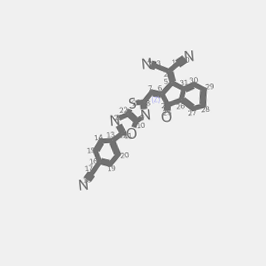 N#CC(C#N)=C1/C(=C/c2nc3oc(-c4ccc(C#N)cc4)nc3s2)C(=O)c2ccccc21